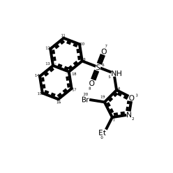 CCc1noc(NS(=O)(=O)c2cccc3ccccc23)c1Br